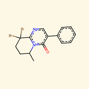 CC1CCC(Br)(Br)c2ncc(-c3ccccc3)c(=O)n21